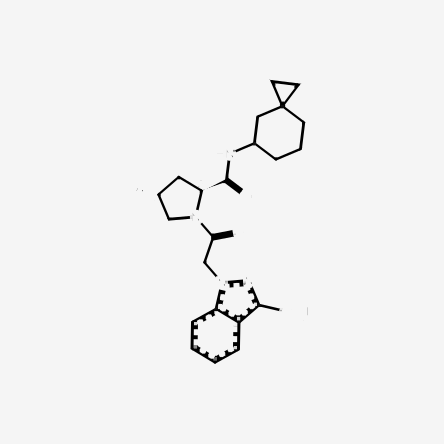 O=C(O)c1nn(CC(=O)N2C[C@H](F)C[C@H]2C(=O)NC2CCCC3(CC3)C2)c2ccccc12